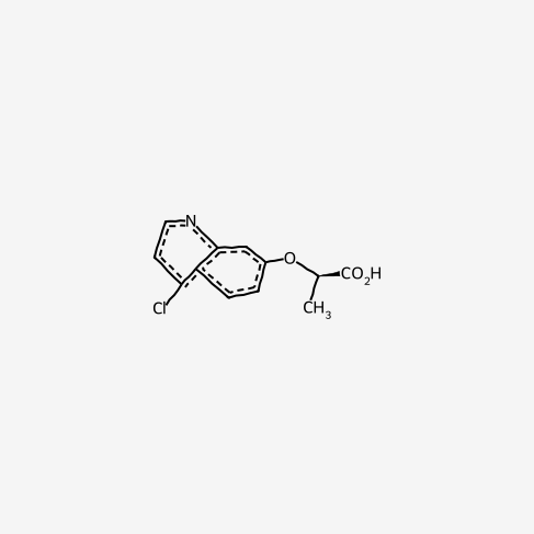 C[C@@H](Oc1ccc2c(Cl)ccnc2c1)C(=O)O